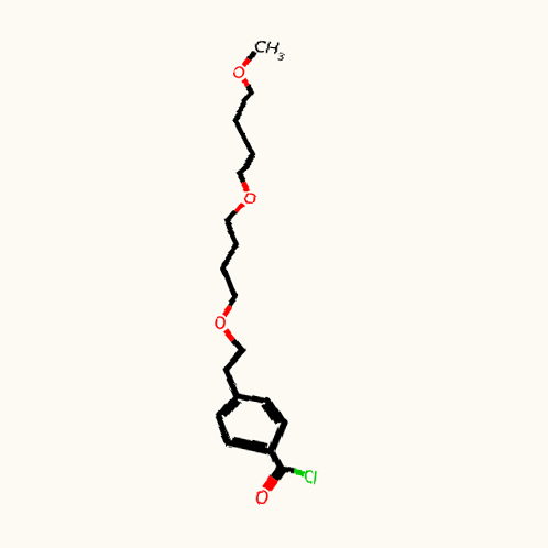 COCCCCOCCCCOCCc1ccc(C(=O)Cl)cc1